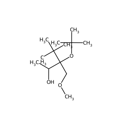 COCC(OC(C)(C)C)(C(C)O)C(C)(C)C